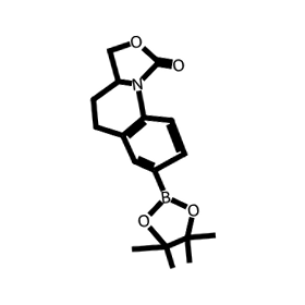 CC1(C)OB(c2ccc3c(c2)CCC2COC(=O)N32)OC1(C)C